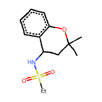 CCS(=O)(=O)NC1CC(C)(C)Oc2ccccc21